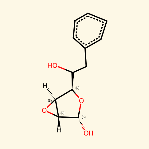 OC(Cc1ccccc1)[C@H]1O[C@H](O)[C@@H]2O[C@H]21